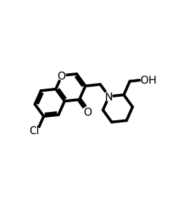 O=c1c(CN2CCCCC2CO)coc2ccc(Cl)cc12